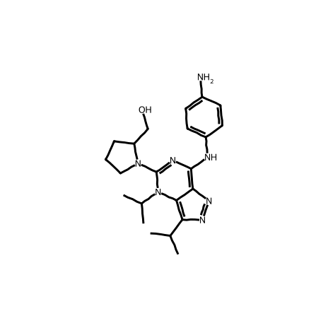 CC(C)c1nnc2c(Nc3ccc(N)cc3)nc(N3CCCC3CO)n(C(C)C)c1-2